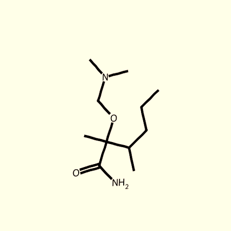 CCCC(C)C(C)(OCN(C)C)C(N)=O